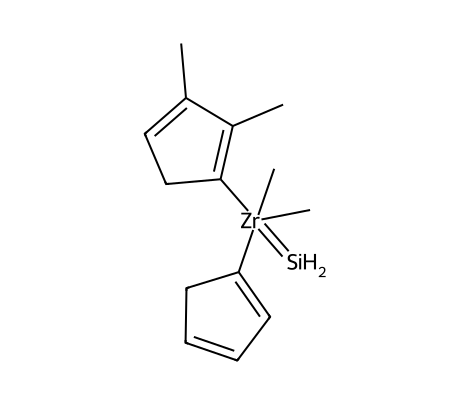 CC1=CC[C]([Zr]([CH3])([CH3])(=[SiH2])[C]2=CC=CC2)=C1C